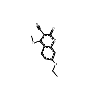 CCOc1ccc2c(OC)c(C#N)c(=O)oc2c1